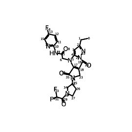 CCc1cc2n(CC(=O)Nc3ccc(F)cn3)c3c(c(=O)n2n1)CN([C@H]1CCN(C(=O)C(F)F)C1)C3=O